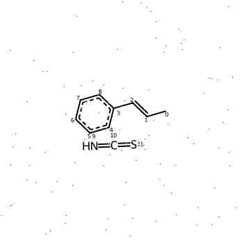 CC=Cc1ccccc1.N=C=S